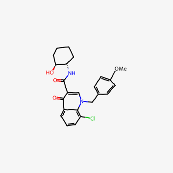 COc1ccc(Cn2cc(C(=O)N[C@H]3CCCC[C@@H]3O)c(=O)c3cccc(Cl)c32)cc1